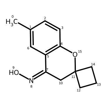 Cc1ccc2c(c1)/C(=N\O)CC1(CCC1)O2